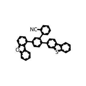 N#Cc1ccccc1-c1cc(-c2cccc3oc4ccccc4c23)ccc1-c1ccc2c(c1)sc1ccccc12